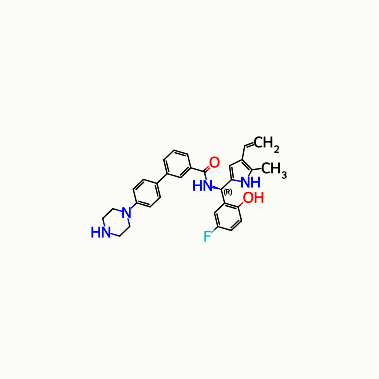 C=Cc1cc([C@H](NC(=O)c2cccc(-c3ccc(N4CCNCC4)cc3)c2)c2cc(F)ccc2O)[nH]c1C